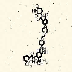 CC(C)(O)C1=CC(=N)/C(=C\NC2CCN(CCN3CCN(c4ccc5c(c4)C(=O)N(C4CCC(=O)NC4=O)C5=O)CC3)CC2)C=C1NC(=O)c1cccc(C(F)(F)F)n1